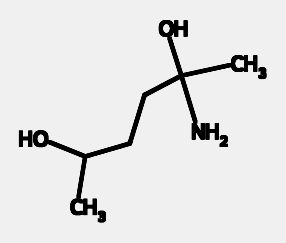 CC(O)CCC(C)(N)O